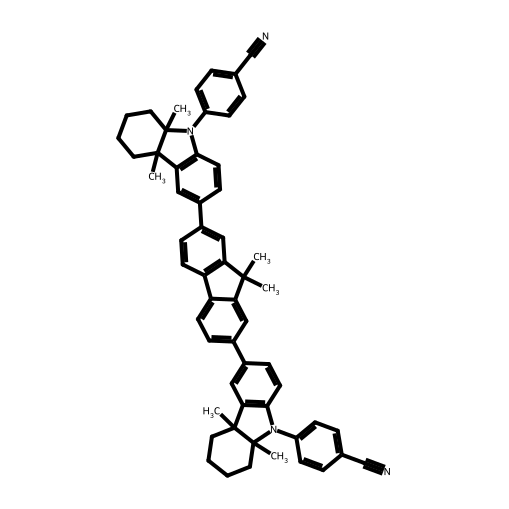 CC1(C)c2cc(-c3ccc4c(c3)C3(C)CCCCC3(C)N4c3ccc(C#N)cc3)ccc2-c2ccc(-c3ccc4c(c3)C3(C)CCCCC3(C)N4c3ccc(C#N)cc3)cc21